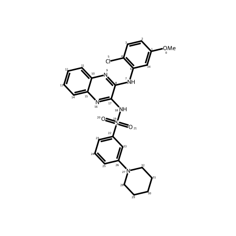 COc1ccc(Cl)c(Nc2nc3ccccc3nc2NS(=O)(=O)c2cccc(N3CCCCC3)c2)c1